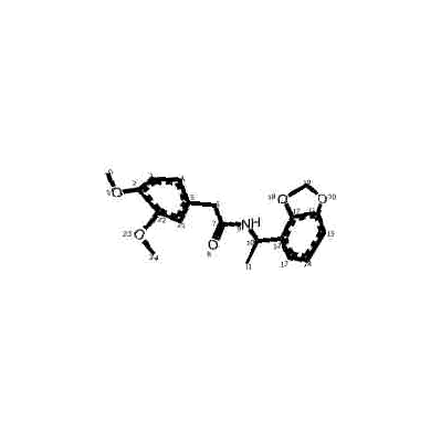 COc1ccc(CC(=O)NC(C)c2cccc3c2OCO3)cc1OC